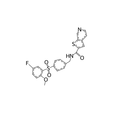 COc1ccc(F)cc1S(=O)(=O)c1ccc(CNC(=O)c2cc3ccncc3s2)cc1